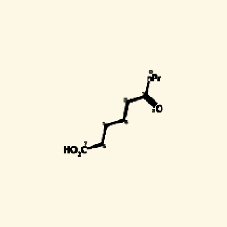 CCCC(=O)CCCCC(=O)O